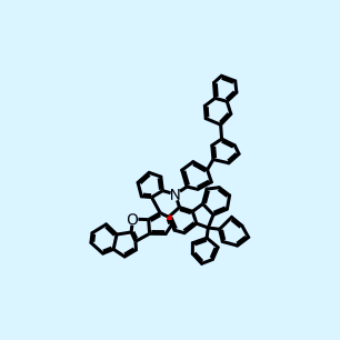 c1ccc(C2(c3ccccc3)c3ccccc3-c3c(N(c4ccc(-c5cccc(-c6ccc7ccccc7c6)c5)cc4)c4ccccc4-c4cccc5c4oc4c6ccccc6ccc54)cccc32)cc1